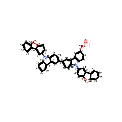 OBOc1ccc2c(c1)c1cc(-c3ccc4c(c3)c3ccccc3n4-c3ccc4oc5ccccc5c4c3)ccc1n2-c1ccc2oc3ccccc3c2c1